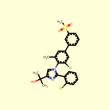 Cc1cc(-c2cccc(S(C)(=O)=O)c2)cc(Cl)c1-n1cc(C(C)(C)O)nc1-c1ccccc1Cl